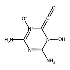 NC1=NC(N)=[N+]([O-])C(=C=O)N1O